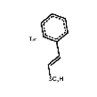 O=S(=O)(O)C=Cc1ccccc1.[Ta]